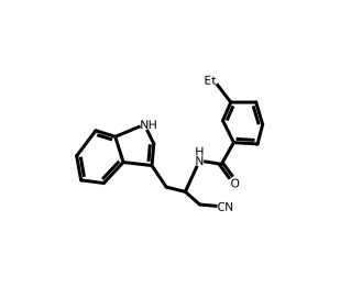 CCc1cccc(C(=O)NC(CC#N)Cc2c[nH]c3ccccc23)c1